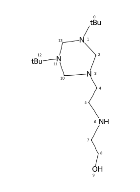 CC(C)(C)N1CN(CCNCCO)CN(C(C)(C)C)C1